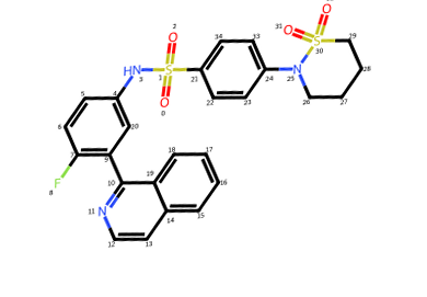 O=S(=O)(Nc1ccc(F)c(-c2nccc3ccccc23)c1)c1ccc(N2CCCCS2(=O)=O)cc1